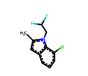 Cc1cc2cccc(Cl)c2n1CC(F)F